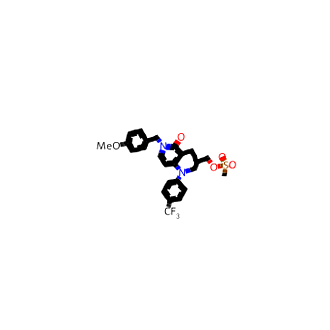 COc1ccc(Cn2ccc3c(c2=O)CC(COS(C)(=O)=O)CN3c2ccc(C(F)(F)F)cc2)cc1